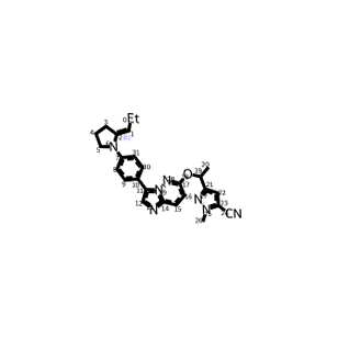 CC/C=C1\CCCN1c1ccc(-c2cnc3ccc(OC(C)c4cc(C#N)n(C)n4)nn23)cc1